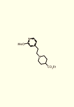 CCOC(=O)C1CCN(CCc2ccnc(OC)c2)CC1